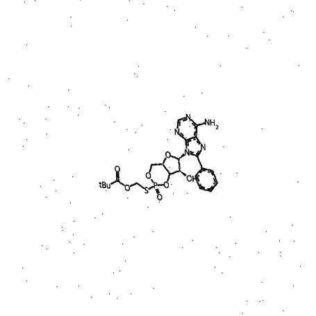 CC(C)(C)C(=O)OCSP1(=O)OCC2O[C@@H](n3c(-c4ccccc4)nc4c(N)ncnc43)[C@@H](O)C2O1